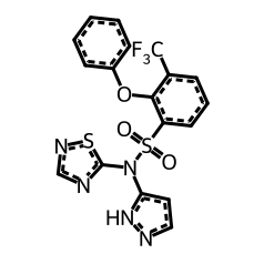 O=S(=O)(c1cccc(C(F)(F)F)c1Oc1ccccc1)N(c1ccn[nH]1)c1ncns1